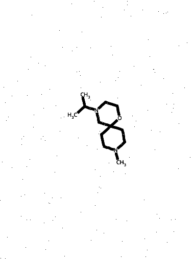 CC(C)N1CCOC2(CCN(C)CC2)C1